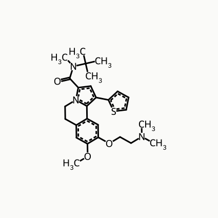 COc1cc2c(cc1OCCN(C)C)-c1c(-c3cccs3)cc(C(=O)N(C)C(C)(C)C)n1CC2